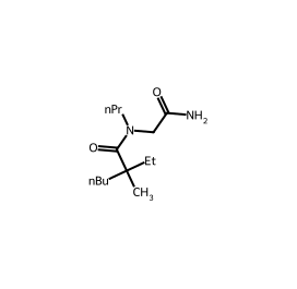 CCCCC(C)(CC)C(=O)N(CCC)CC(N)=O